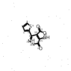 O=c1[nH]nc(-c2cccs2)c2c(=O)o[nH]c12